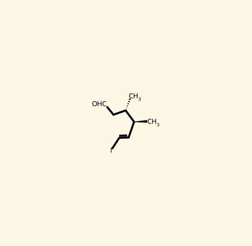 C[C@@H](/C=C/I)[C@@H](C)CC=O